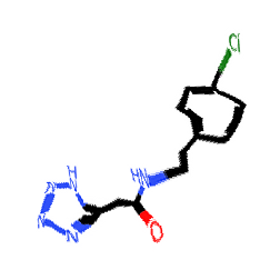 O=C(NCc1ccc(Cl)cc1)c1nnn[nH]1